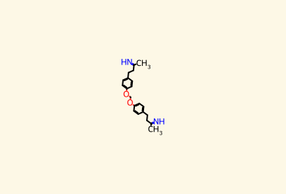 CC(=N)CCc1ccc(OCOc2ccc(CCC(C)=N)cc2)cc1